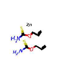 C=CCOC(N)=S.C=CCOC(N)=S.[Zn]